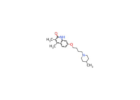 Cc1c(C)c2ccc(OCCCCN3CCC(C)CC3)cc2[nH]c1=O